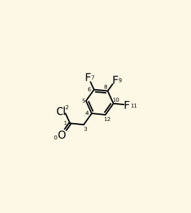 O=C(Cl)Cc1cc(F)c(F)c(F)c1